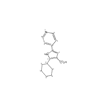 O=C(O)c1cc(-c2ccncc2)[nH]c1C1CCCCC1